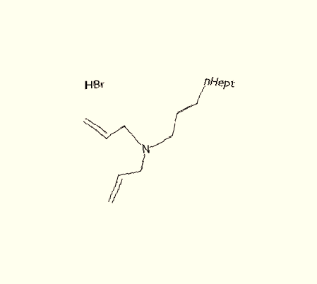 Br.C=CCN(CC=C)CCCCCCCCCC